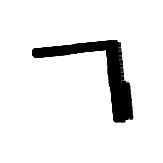 [Cu+2].[Cu+2].[Cu+2].[Cu+2].[Cu+2].[Cu+2].[Cu+2].[Cu+2].[Cu+2].[Cu+2].[Cu+2].[Cu+2].[Cu+2].[Cu+2].[Cu+2].[Cu+2].[Cu+2].[Cu+2].[Cu+2].[Cu+2].[Cu+2].[Cu+2].[Cu+2].[Cu+2].[Cu+2].[Cu+2].[Cu+2].[Cu+2].[Cu+2].[Cu+2].[Cu+2].[Cu+2].[Cu+2].[Cu+2].[Cu+2].[Cu+2].[Cu+2].[Cu+2].[Cu+2].[Cu+2].[Cu+2].[Cu+2].[Cu+2].[Cu+2].[Cu+2].[Cu+2].[Cu+2].[Cu+2].[Cu+2].[Cu+2].[Cu+2].[Cu+2].[Cu+2].[Cu+2].[Cu+2].[Cu+2].[Cu+2].[Cu+2].[Cu+2].[Cu+2].[O-2].[O-2].[O-2].[O-2].[O-2].[O-2].[O-2].[O-2].[O-2].[O-2].[O-2].[O-2].[O-2].[O-2].[O-2].[O-2].[O-2].[O-2].[O-2].[O-2].[O-2].[O-2].[O-2].[O-2].[O-2].[O-2].[O-2].[O-2].[O-2].[O-2].[O-2].[O-2].[O-2].[O-2].[O-2].[O-2].[O-2].[O-2].[O-2].[O-2].[O-2].[O-2].[O-2].[O-2].[O-2].[O-2].[O-2].[O-2].[O-2].[O-2].[O-2].[O-2].[O-2].[O-2].[O-2].[O-2].[O-2].[O-2].[O-2].[O-2].[O-2].[O-2].[O-2].[O-2].[O-2].[O-2].[O-2].[O-2].[O-2].[O-2]